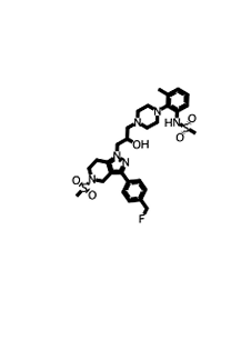 Cc1cccc(NS(C)(=O)=O)c1N1CCN(CC(O)Cn2nc(-c3ccc(CF)cc3)c3c2CCN(S(C)(=O)=O)C3)CC1